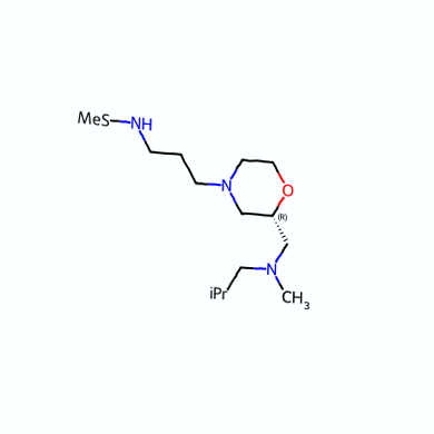 CSNCCCN1CCO[C@H](CN(C)CC(C)C)C1